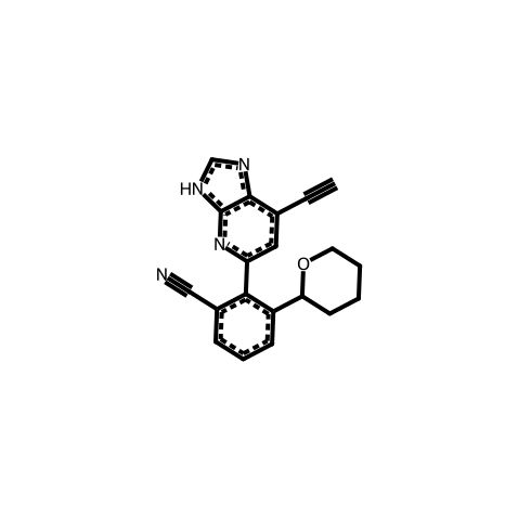 C#Cc1cc(-c2c(C#N)cccc2C2CCCCO2)nc2[nH]cnc12